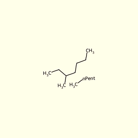 CCCCC(C)CC.CCCCCC